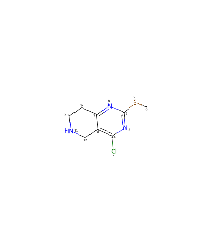 CSc1nc(Cl)c2c(n1)CCNC2